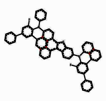 Fc1cc(-c2ccccc2)cc(-c2ccccc2)c1N(c1ccccc1)c1ccc2c(c1)sc1c3ccc(N(c4ccccc4)c4c(F)cc(-c5ccccc5)cc4-c4ccccc4)cc3c3ccccc3c21